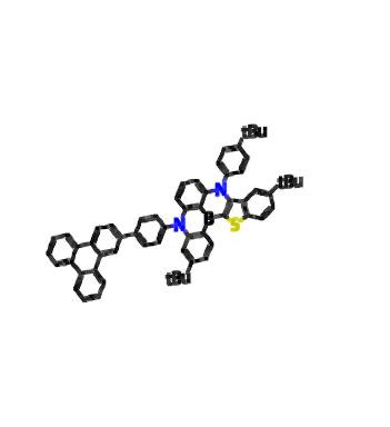 CC(C)(C)c1ccc(N2c3cccc4c3B(c3ccc(C(C)(C)C)cc3N4c3ccc(-c4ccc5c6ccccc6c6ccccc6c5c4)cc3)c3sc4ccc(C(C)(C)C)cc4c32)cc1